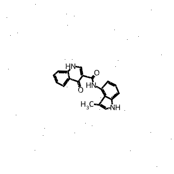 Cc1c[nH]c2cccc(NC(=O)c3c[nH]c4ccccc4c3=O)c12